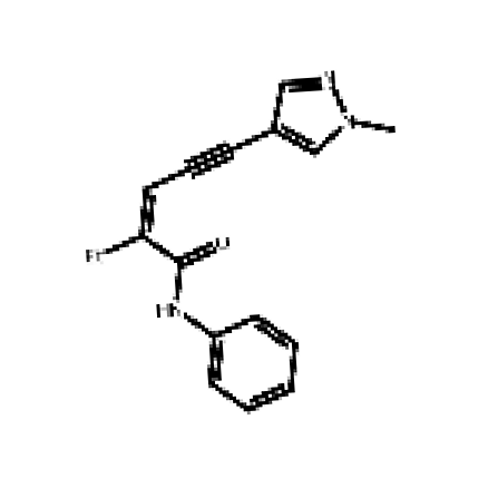 CC/C(=C/C#Cc1cnn(C)c1)C(=O)Nc1ccccc1